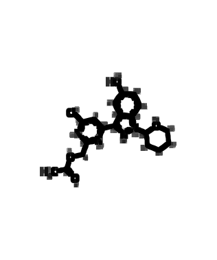 CC(=O)OCc1nc(Cl)cc(-c2nn(C3CCCCO3)c3ccc(O)cc23)n1